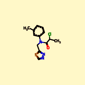 Cc1cccc(N(Cc2nncs2)C(=O)C(C)Cl)c1